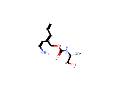 C=C/C=C(\C=C/N)COC(=O)N[C@@H](CO)C(C)C